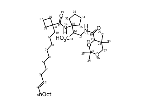 CCCCCCCC/C=C/CCCCCCCCC1(C(=O)NC2(C(CNC(=O)C3OC(C)(C)OCC3(C)C)C(=O)O)CCCC2)CCC1